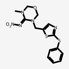 CN1COCN(Cc2cnc(Sc3ccccc3)s2)C1=N[N+](=O)[O-]